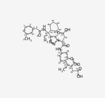 Cc1cccc(CC(=O)N[C@](C)(c2cn(C(CC(=O)O)C(=O)Nc3ccc4c(C)c(CC(=O)O)c(=O)oc4c3)nn2)C2CCCCC2)c1